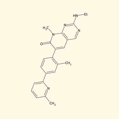 CCNc1ncc2cc(-c3ccc(-c4cccc(C)n4)cc3C)c(=O)n(C)c2n1